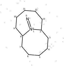 [N-]=[N+]1C2CCCCCC1CCCCC2